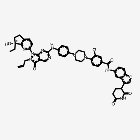 C=CCn1c(=O)c2cnc(Nc3ccc(N4CCN(c5ccc(C(=O)Nc6ccc7occ(C8CCC(=O)NC8=O)c7c6)cc5Cl)CC4)cc3)nc2n1-c1ccc2c(n1)[C@@](O)(CC)CC2